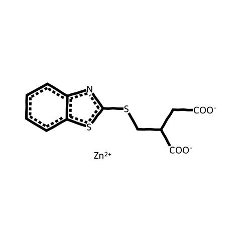 O=C([O-])CC(CSc1nc2ccccc2s1)C(=O)[O-].[Zn+2]